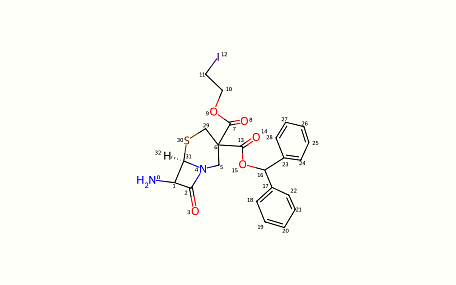 NC1C(=O)N2CC(C(=O)OCCI)(C(=O)OC(c3ccccc3)c3ccccc3)CS[C@H]12